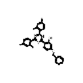 Cc1ccc(-c2nc(-c3ccc(C)cc3C)nc(-c3ccc(OCc4ccccc4)cc3O)n2)c(C)c1